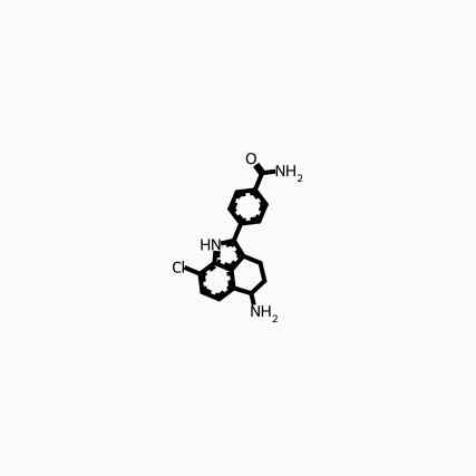 NC(=O)c1ccc(-c2[nH]c3c(Cl)ccc4c3c2CCC4N)cc1